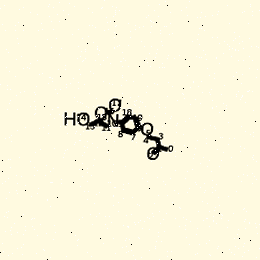 CC(=O)CCOc1ccc(N2CC(CO)OC2=O)cc1